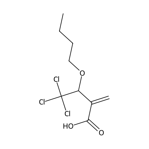 C=C(C(=O)O)C(OCCCC)C(Cl)(Cl)Cl